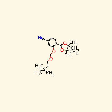 CC1(C)OB(c2ccc(C#N)cc2OCOCC[Si](C)(C)C)OC1(C)C